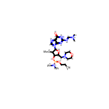 COC1C(OP(OCCC#N)N(C(C)C)C(C)C)C(CN2CCOCC2)OC1n1cnc2c(=O)[nH]c(/N=C/N(C)C)nc21